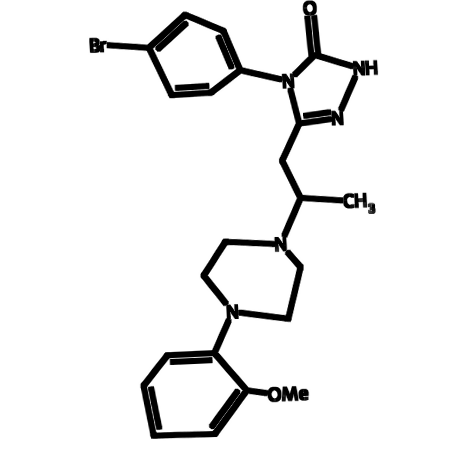 COc1ccccc1N1CCN(C(C)Cc2n[nH]c(=O)n2-c2ccc(Br)cc2)CC1